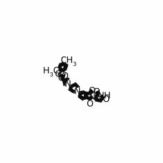 Cc1ccc(S(=O)(=O)OC2CN(C3CCN(c4ccc5c(c4)C(=O)N(C4CCC(=O)NC4=O)C5=O)CC3)C2)c(C)c1